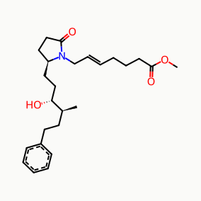 COC(=O)CCC/C=C/CN1C(=O)CC[C@@H]1CC[C@@H](O)[C@@H](C)CCc1ccccc1